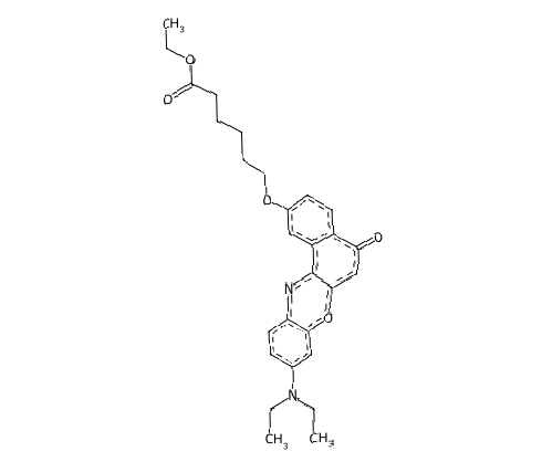 CCOC(=O)CCCCCOc1ccc2c(=O)cc3oc4cc(N(CC)CC)ccc4nc-3c2c1